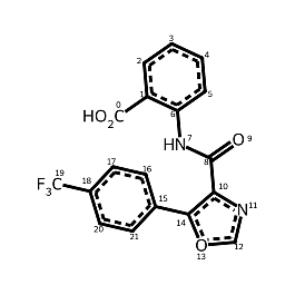 O=C(O)c1ccccc1NC(=O)c1ncoc1-c1ccc(C(F)(F)F)cc1